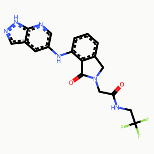 O=C(CN1Cc2cccc(Nc3cnc4[nH]ncc4c3)c2C1=O)NCC(F)(F)F